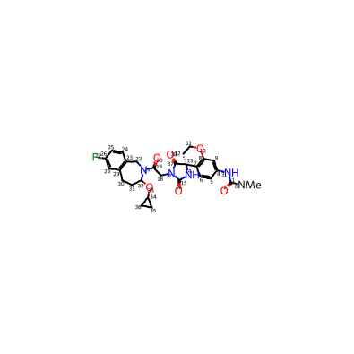 CNC(=O)Nc1ccc2c(c1)OCC[C@@]21NC(=O)N(CC(=O)N2Cc3ccc(F)cc3CCC2OC2CC2)C1=O